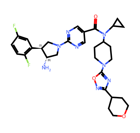 N[C@H]1CN(c2ncc(C(=O)N(C3CC3)C3CCN(c4nc(C5CCOCC5)no4)CC3)cn2)C[C@@H]1c1cc(F)ccc1F